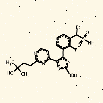 CCC(c1cccc(-c2nc(C(C)(C)C)sc2-c2ccnc(CCC(C)(C)O)n2)c1F)S(N)(=O)=O